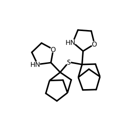 C1COC(C2(SC3(C4NCCO4)CC4CCC3C4)CC3CCC2C3)N1